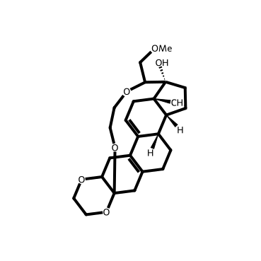 COCC1OCCOC23CC4=C(CC2OCCO3)C2=CC[C@@]3(C)[C@H](CC[C@]13O)[C@@H]2CC4